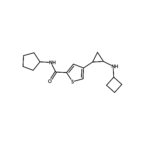 O=C(NC1CCCC1)c1cc(C2CC2NC2CCC2)cs1